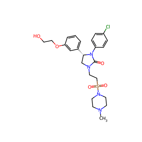 CN1CCN(S(=O)(=O)CCN2C[C@H](c3cccc(OCCO)c3)N(c3ccc(Cl)cc3)C2=O)CC1